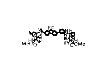 COC(=O)NC(C(=O)N1CC2(CC2)C[C@H]1c1ncc(-c2ccc3c(c2)C(F)(F)c2cc(-c4ccc5nc([C@@H]6[C@H]7CC[C@H](C7)N6C(=O)[C@@H](NC(=O)OC)C(C)C)[nH]c5c4)ccc2-3)[nH]1)C(C)C